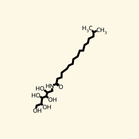 CC(C)CCCCCCCCCCCCCCC(=O)NCC(O)C(O)C(O)C(O)CO